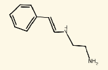 NCCNC=Cc1ccccc1